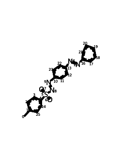 Cc1ccc(S(=O)(=O)N=Nc2ccc(N=Nc3ccccc3)cc2)cc1